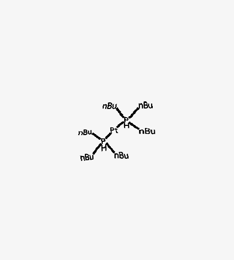 CCCC[PH](CCCC)(CCCC)[Pt][PH](CCCC)(CCCC)CCCC